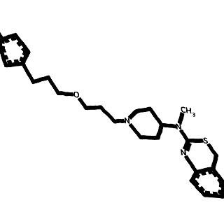 CN(C1=Nc2ccccc2CS1)C1CCN(CCCOCCCc2ccc(F)cc2)CC1